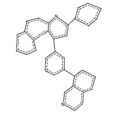 c1ccc(-c2cc(-c3cccc(-c4cccc5ccncc45)c3)c3c(ccc4ccccc43)n2)cc1